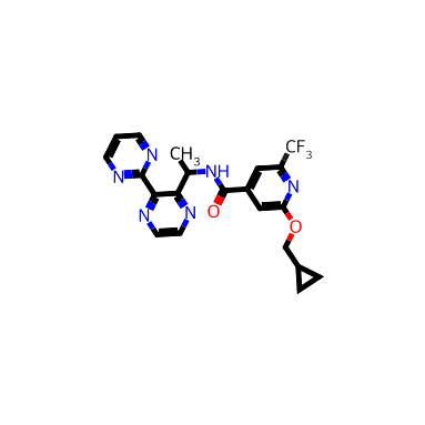 CC(NC(=O)c1cc(OCC2CC2)nc(C(F)(F)F)c1)c1nccnc1-c1ncccn1